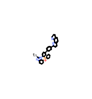 CCc1nc2cccc3c2n1-c1ccc(-c2ccc(-c4ccc5ccc6cccnc6c5n4)cc2)cc1P3(=O)c1ccccc1